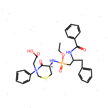 CCOP(=O)(CC(Cc1ccccc1)NC(=O)c1ccccc1)N[C@H]1CSC[N+](CC(=O)O)(c2ccccc2)C1=O